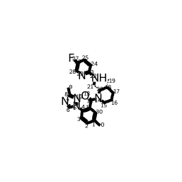 Cc1ccc(-n2cnc(C)n2)c(C(=O)N2CCC[C@@H](C)[C@H]2CNc2ccc(F)cn2)c1